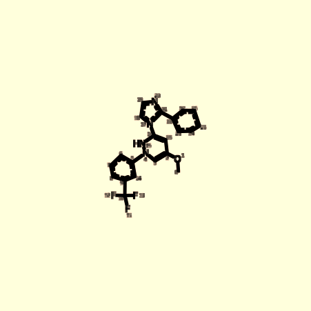 COC1=CN(c2cccc(C(F)(F)F)c2)NC(n2ccnc2-c2ccccc2)=C1